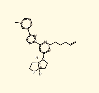 C=CCCCc1nc(N2CC[C@H]3OCC[C@H]32)cc(-n2ccc(-c3cccc(C)c3)n2)n1